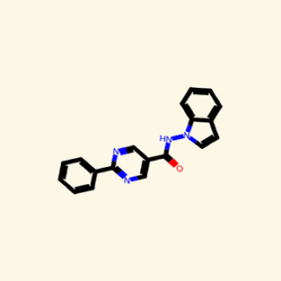 O=C(Nn1ccc2ccccc21)c1cnc(-c2ccccc2)nc1